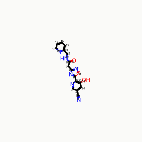 N#Cc1cnc(-c2nc(CC(=O)NCc3ccccn3)no2)c(O)c1